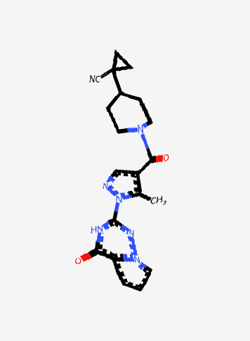 Cc1c(C(=O)N2CCC(C3(C#N)CC3)CC2)cnn1-c1nn2cccc2c(=O)[nH]1